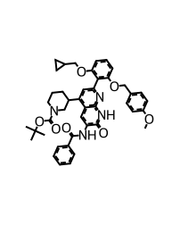 COc1ccc(COc2cccc(OCC3CC3)c2-c2cc(C3CCCN(C(=O)OC(C)(C)C)C3)c3cc(NC(=O)c4ccccc4)c(=O)[nH]c3n2)cc1